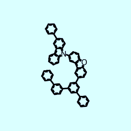 c1ccc(-c2cccc(-c3cc(-c4ccccc4)cc(-c4ccc5oc6ccc(-n7c8ccccc8c8cc(-c9ccccc9)ccc87)cc6c5c4)c3)c2)cc1